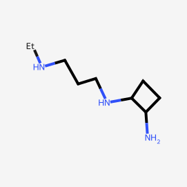 CCNCCCNC1CCC1N